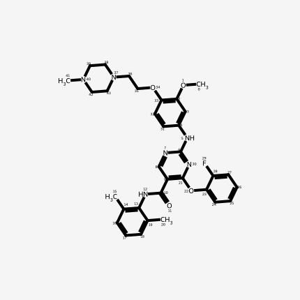 COc1cc(Nc2ncc(C(=O)Nc3c(C)cccc3C)c(Oc3ccccc3F)n2)ccc1OCCN1CCN(C)CC1